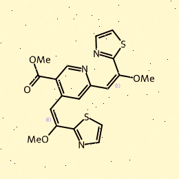 COC(=O)c1cnc(/C=C(/OC)c2nccs2)cc1/C=C(/OC)c1nccs1